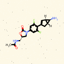 CC(=O)NC[C@H]1CN(c2cc(F)c(C3=C[C@H]4[C@@H](N)[C@@H]4C3)c(F)c2)C(=O)O1